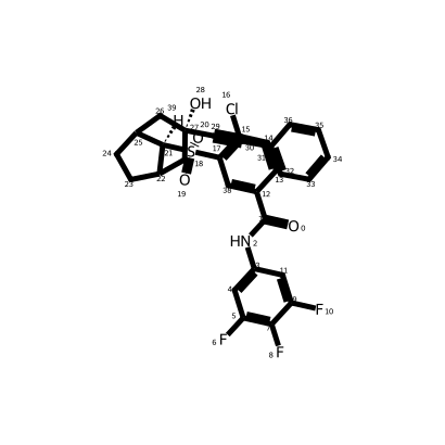 O=C(Nc1cc(F)c(F)c(F)c1)c1ccc(Cl)c(S(=O)(=O)[C@H]2C3CCC2C[C@@](O)(C#Cc2ccccc2)C3)c1